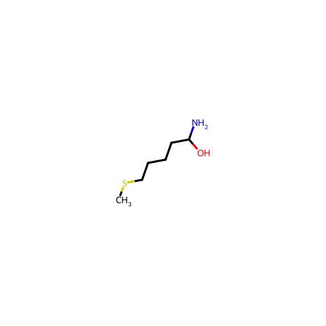 CSCCCCC(N)O